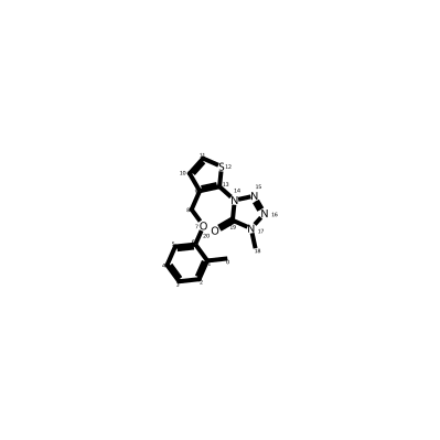 Cc1ccccc1OCc1ccsc1-n1nnn(C)c1=O